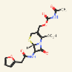 O=C(Cc1ccco1)NC1C(=O)N2C(C(=O)O)=C(COC(=O)NC(=O)C(F)(F)F)CS[C@@H]12